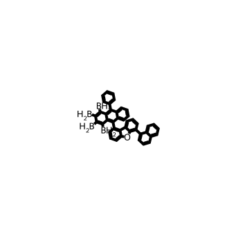 Bc1c(B)c(B)c2c(-c3cccc4oc5c(-c6cccc7ccccc67)cccc5c34)c3ccccc3c(-c3ccccc3)c2c1B